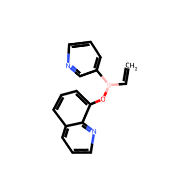 C=CB(Oc1cccc2cccnc12)c1cccnc1